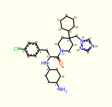 NC1CCC(N[C@@H](Cc2ccc(Cl)cc2)C(=O)N2CCC(Cn3cncn3)(C3CCCCC3)CC2)CC1